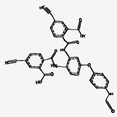 C#Cc1ccc(C(=O)Nc2ccc(Oc3ccc(NC=O)cc3)cc2NC(=O)c2ccc(C#C)cc2C(=O)O)c(C(=O)O)c1